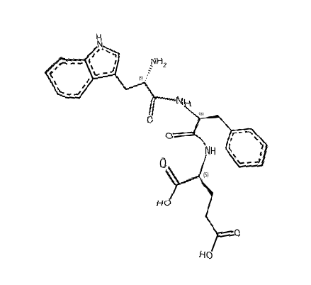 N[C@@H](Cc1c[nH]c2ccccc12)C(=O)N[C@@H](Cc1ccccc1)C(=O)N[C@@H](CCC(=O)O)C(=O)O